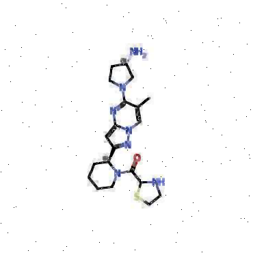 Cc1cn2nc([C@@H]3CCCCN3C(=O)C3NCCS3)cc2nc1N1CC[C@H](N)C1